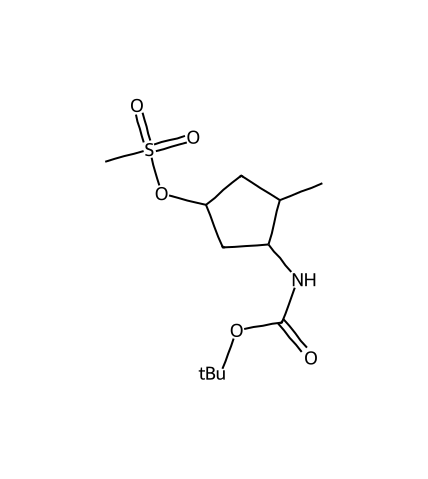 CC1CC(OS(C)(=O)=O)CC1NC(=O)OC(C)(C)C